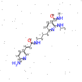 CCNc1nc(CCCCNC(=O)C=Cc2ccc(N)nc2)ccc1C(=O)NC